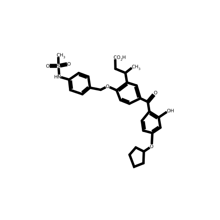 CC(CC(=O)O)c1cc(C(=O)c2ccc(OC3CCCC3)cc2O)ccc1OCc1ccc(NS(C)(=O)=O)cc1